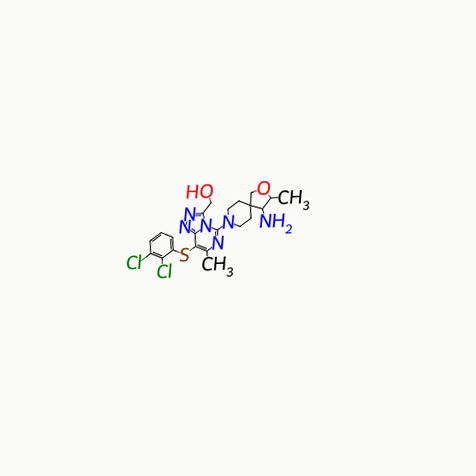 Cc1nc(N2CCC3(CC2)COC(C)C3N)n2c(CO)nnc2c1Sc1cccc(Cl)c1Cl